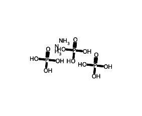 N.N.O=P(O)(O)O.O=P(O)(O)O.O=P(O)(O)O